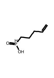 C=CCCC[PH](=O)O